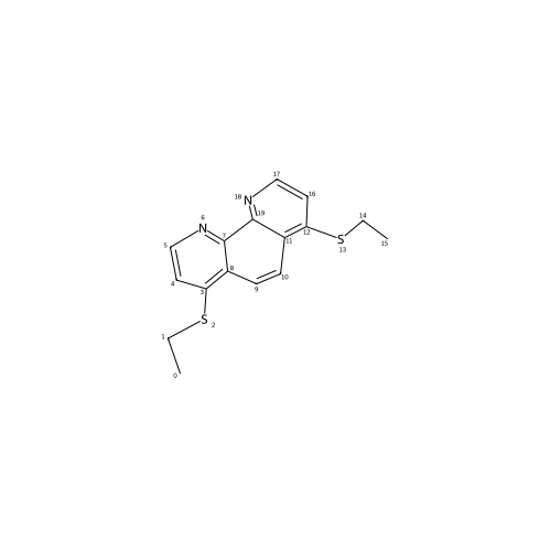 CCSc1ccnc2c1ccc1c(SCC)ccnc12